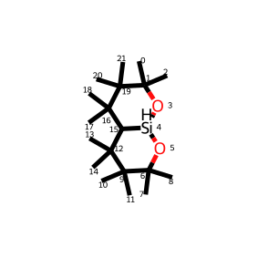 CC1(C)O[SiH]2OC(C)(C)C(C)(C)C(C)(C)C2C(C)(C)C1(C)C